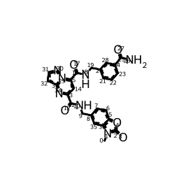 Cn1c(=O)oc2ccc(CNC(=O)c3cc(C(=O)NCc4cccc(C(N)=O)c4)n4nccc4n3)cc21